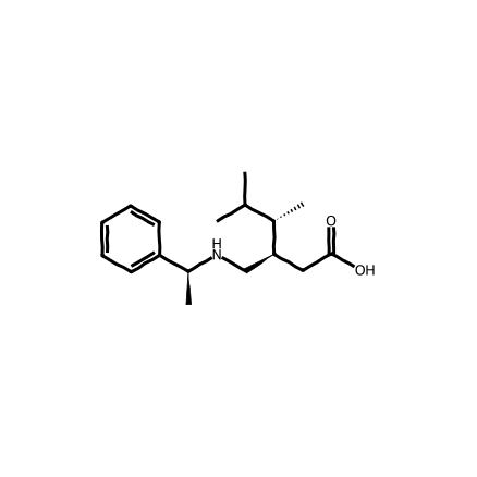 CC(C)[C@H](C)[C@H](CN[C@@H](C)c1ccccc1)CC(=O)O